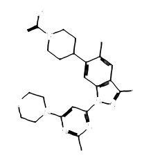 Cc1nc(N2CCOCC2)cc(-n2nc(O)c3cc(C)c(C4CCN(C(=O)O)CC4)cc32)n1